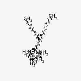 CCCCCCCCCCCCN(CCCCCCCCCCCC)CCCCCCC1C(C)(C(N)=O)CC(C)(C(N)=O)CC1(C)C(N)=O